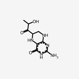 CC(O)C(=O)C1CNc2nc(N)[nH]c(=O)c2N1